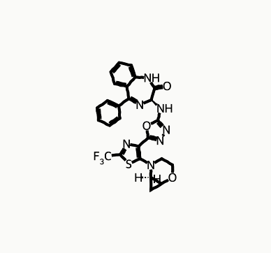 O=C1Nc2ccccc2C(c2ccccc2)=N[C@@H]1Nc1nnc(-c2nc(C(F)(F)F)sc2N2CCO[C@H]3C[C@H]32)o1